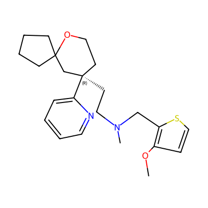 COc1ccsc1CN(C)CC[C@@]1(c2ccccn2)CCOC2(CCCC2)C1